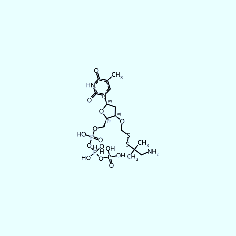 Cc1cn([C@H]2C[C@@H](OCSSC(C)(C)CN)[C@@H](COP(=O)(O)O[PH](O)(O)OP(=O)(O)O)O2)c(=O)[nH]c1=O